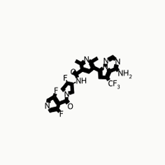 Cc1nc(C)c(-c2cc(C(F)(F)F)c3c(N)ncnn23)cc1C(=O)N[C@@H]1CN(C(=O)c2c(F)cncc2F)C[C@@H]1F